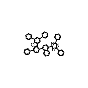 c1ccc(-c2cc(-c3ccccc3)c3oc4c(-c5ccccc5)ccc(-c5ccc(-c6nc(-c7ccccc7)nc(-c7ccccc7)n6)c6ccccc56)c4c3c2)cc1